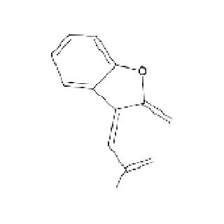 C=C(C)/C=c1\c(=C)oc2ccccc12